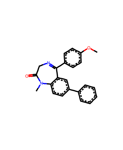 COc1ccc(C2=NCC(=O)N(C)c3ccc(-c4ccccc4)cc32)cc1